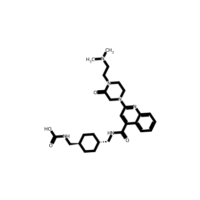 CN(C)CCN1CCN(c2cc(C(=O)NC[C@H]3CC[C@H](CNC(=O)O)CC3)c3ccccc3n2)CC1=O